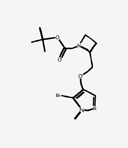 Cn1ncc(OCC2CCN2C(=O)OC(C)(C)C)c1Br